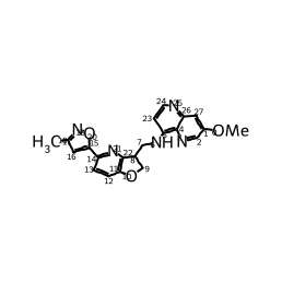 COc1cnc2c(NCC3COc4ccc(-c5cc(C)no5)nc43)ccnc2c1